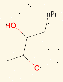 CCCCC(O)C(C)[O]